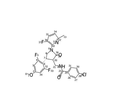 COc1cc(F)c([C@@H]2CN(c3nc(C)ccc3F)C(=O)C2CNC(=O)c2ccc(Cl)cc2)c(F)c1